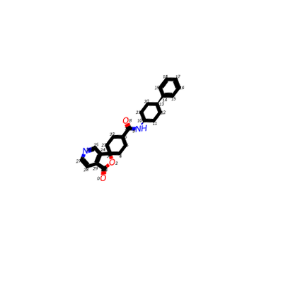 O=C1OC2(CCC(C(=O)N[C@H]3CC[C@H](c4ccccc4)CC3)CC2)c2cnccc21